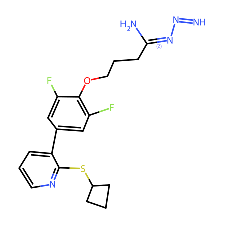 N=N/N=C(\N)CCCOc1c(F)cc(-c2cccnc2SC2CCC2)cc1F